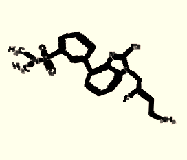 CCc1nc2c(-c3cccc(S(=O)(=O)N(C)C)c3)cccc2n1C/C(F)=C/CN